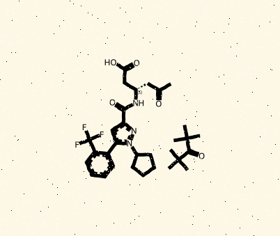 CC(=O)C[C@@H](CC(=O)O)NC(=O)c1cc(-c2ccccc2C(F)(F)F)n(C2CCCC2)n1.CC(C)(C)C(=O)C(C)(C)C